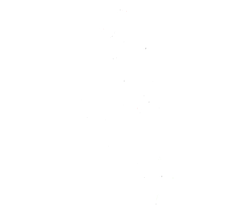 CC(CCCCC(F)(F)F)C(C)c1ccc2c(c1)OC(C)(C)c1ccc(C(=O)O)cc1-2